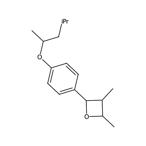 CC(C)CC(C)Oc1ccc(C2OC(C)C2C)cc1